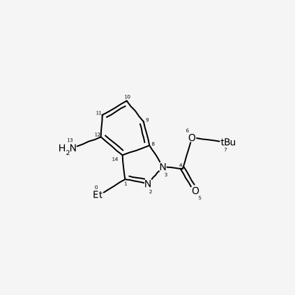 CCc1nn(C(=O)OC(C)(C)C)c2cccc(N)c12